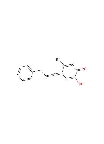 CC(C)C1=CC(=O)C(O)=CC1=C=CCc1ccccc1